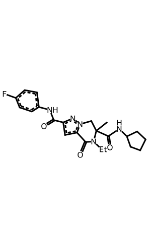 CCN1C(=O)c2cc(C(=O)Nc3ccc(F)cc3)nn2CC1(C)C(=O)NC1CCCC1